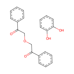 O=C(COCC(=O)c1ccccc1)c1ccccc1.Oc1ccccc1O